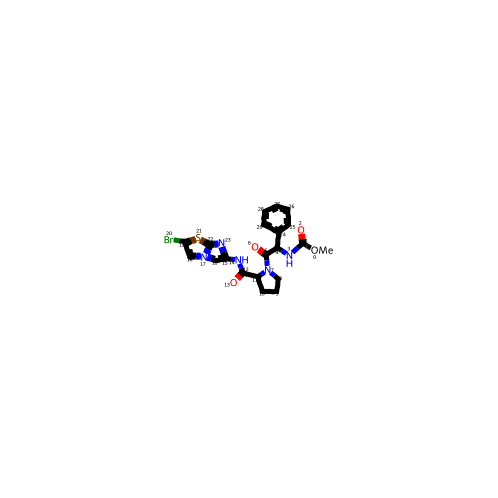 COC(=O)NC(C(=O)N1CCCC1C(=O)Nc1cn2cc(Br)sc2n1)c1ccccc1